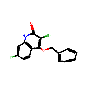 O=c1[nH]c2cc(F)ccc2c(OCc2ccccc2)c1Br